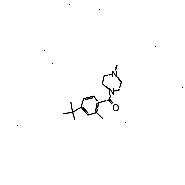 Cc1cc(C(C)(C)C)ccc1C(=O)N1CCN(C)CC1